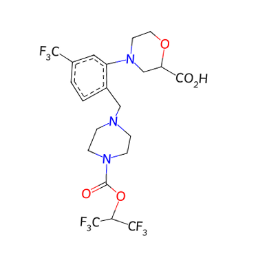 O=C(O)C1CN(c2cc(C(F)(F)F)ccc2CN2CCN(C(=O)OC(C(F)(F)F)C(F)(F)F)CC2)CCO1